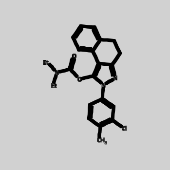 CCN(CC)C(=O)Oc1c2c(nn1-c1ccc(C)c(Cl)c1)CCc1ccccc1-2